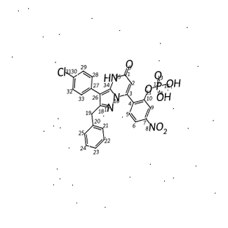 O=c1cc(-c2ccc([N+](=O)[O-])cc2OP(=O)(O)O)n2nc(Cc3ccccc3)c(-c3ccc(Cl)cc3)c2[nH]1